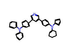 C1=CC=CC=1N(C1=CCCCC1)c1ccc(-c2cncc(-c3ccc(N(c4ccccc4)c4ccccc4)cc3)c2)cc1